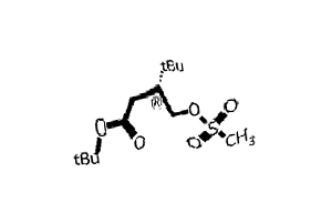 CC(C)(C)OC(=O)C[C@@H](COS(C)(=O)=O)C(C)(C)C